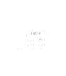 COc1cc(-c2oc3cc(O)cc(O)c3c(=O)c2OC2OC(CO)C(O)C(O)C2OC2OC(C)C(O)C(O)C2O)ccc1O